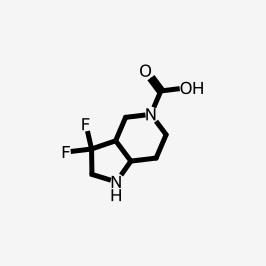 O=C(O)N1CCC2NCC(F)(F)C2C1